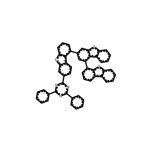 c1ccc(-c2nc(-c3ccccc3)nc(-c3ccc4c(c3)sc3cccc(-c5cc(-c6cccc7c6sc6ccccc67)c6c(c5)sc5ccccc56)c34)n2)cc1